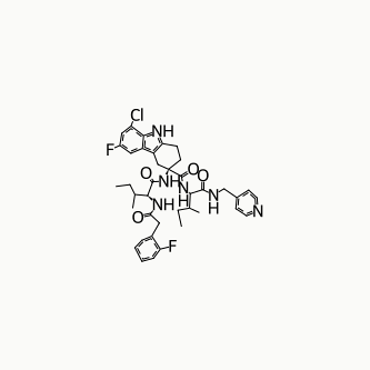 CCC(C)[C@H](NC(=O)Cc1ccccc1F)C(=O)N[C@]1(C(=O)N[C@H](C(=O)NCc2ccncc2)C(C)CC)CCc2[nH]c3c(Cl)cc(F)cc3c2C1